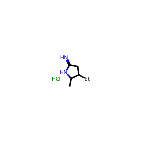 CCC1CC(=N)NC1C.Cl